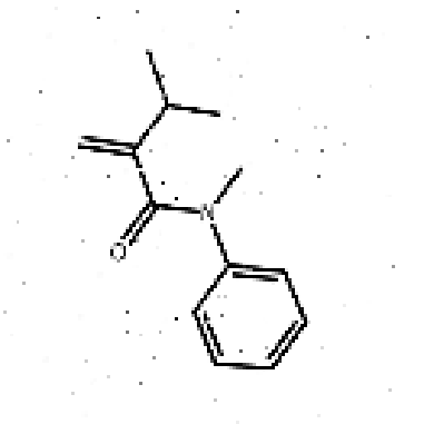 C=C(C(=O)N(C)c1ccccc1)C(C)C